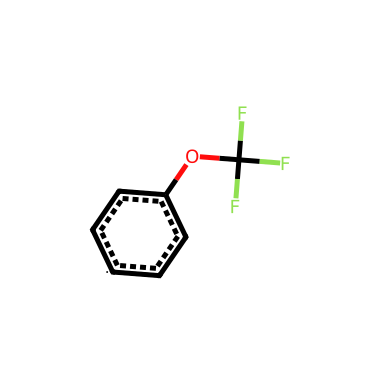 FC(F)(F)Oc1cc[c]cc1